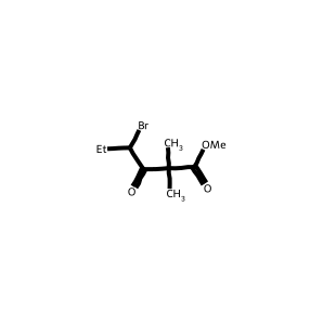 CCC(Br)C(=O)C(C)(C)C(=O)OC